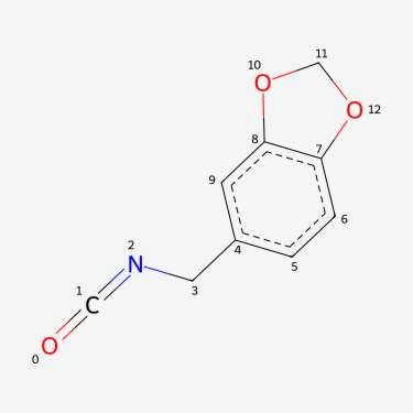 O=C=NCc1ccc2c(c1)OCO2